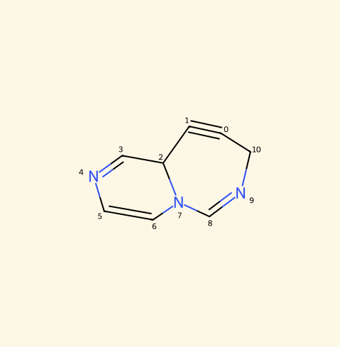 C1#CC2C=NC=CN2C=NC1